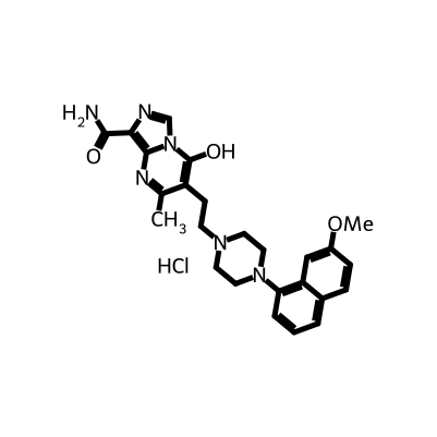 COc1ccc2cccc(N3CCN(CCc4c(C)nc5c(C(N)=O)ncn5c4O)CC3)c2c1.Cl